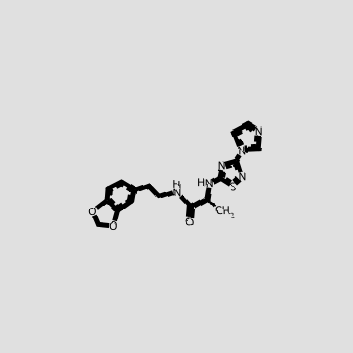 C[C@H](Nc1nc(-n2ccnc2)ns1)C(=O)NCCc1ccc2c(c1)OCO2